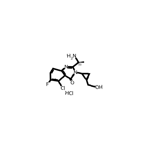 C[C@H](N)c1nc2ccc(F)c(Cl)c2c(=O)n1C1CC1CO.Cl